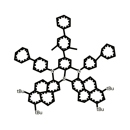 Cc1cc(-c2ccccc2)cc(C)c1-c1cc2c3c(c1)N(c1ccc(-c4ccccc4)cc1)c1c(cc4ccc5c(C(C)(C)C)cc(C(C)(C)C)c6ccc1c4c56)B3c1cc3ccc4c(C(C)(C)C)cc(C(C)(C)C)c5ccc(c1N2c1ccc(-c2ccccc2)cc1)c3c45